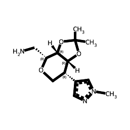 Cn1cc([C@@H]2CO[C@H](CN)[C@@H]3OC(C)(C)O[C@@H]32)cn1